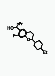 CCCC(O)c1cc2c(cc1F)OC(C1CCC(CC)CC1)CC2